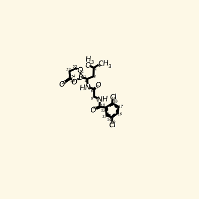 CC(C)CC(NC(=O)CNC(=O)c1cc(Cl)ccc1Cl)B1OCCC(=O)O1